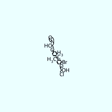 CC(C)(c1ccc(OC[C@@H](O)CN2CCOCC2)cc1)c1ccc(OC[C@@H](O)CCl)c(Br)c1